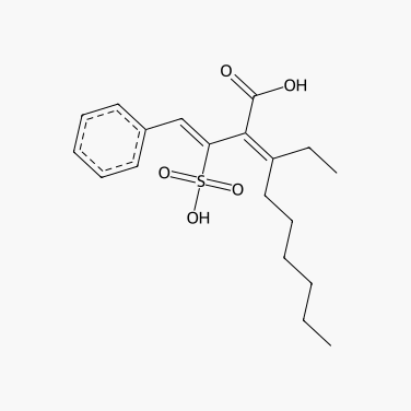 CCCCCCC(CC)=C(C(=O)O)C(=Cc1ccccc1)S(=O)(=O)O